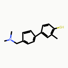 Cc1cc(-c2ccc(CN(C)C)cc2)ccc1S